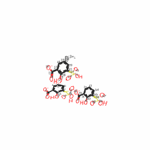 O=C([O-])c1cccc(S(=O)(=O)O)c1O.O=C([O-])c1cccc(S(=O)(=O)O)c1O.O=C([O-])c1cccc(S(=O)(=O)O)c1O.[Bi+3]